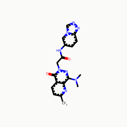 CN(C)c1nn(CC(=O)Nc2ccc3nncn3c2)c(=O)c2ccc(C(F)(F)F)nc12